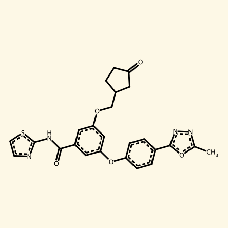 Cc1nnc(-c2ccc(Oc3cc(OCC4CCC(=O)C4)cc(C(=O)Nc4nccs4)c3)cc2)o1